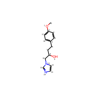 COc1ccc(CCC(O)Cn2ccnc2)cc1